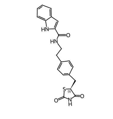 O=C1NC(=O)[C@H](Cc2ccc(CCNC(=O)c3cc4ccccc4[nH]3)cc2)S1